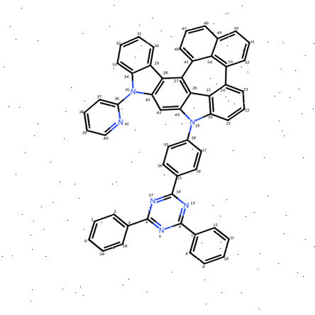 c1ccc(-c2nc(-c3ccccc3)nc(-c3ccc(-n4c5cccc6c5c5c(c7c8ccccc8n(-c8ccccn8)c7cc54)-c4cccc5cccc-6c45)cc3)n2)cc1